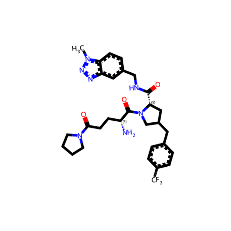 Cn1nnc2cc(CNC(=O)[C@@H]3CC(Cc4ccc(C(F)(F)F)cc4)CN3C(=O)[C@H](N)CCC(=O)N3CCCC3)ccc21